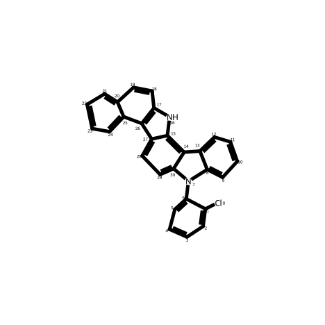 Clc1ccccc1-n1c2ccccc2c2c3[nH]c4ccc5ccccc5c4c3ccc21